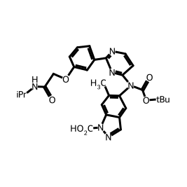 Cc1cc2c(cnn2C(=O)O)cc1N(C(=O)OC(C)(C)C)c1ccnc(-c2cccc(OCC(=O)NC(C)C)c2)n1